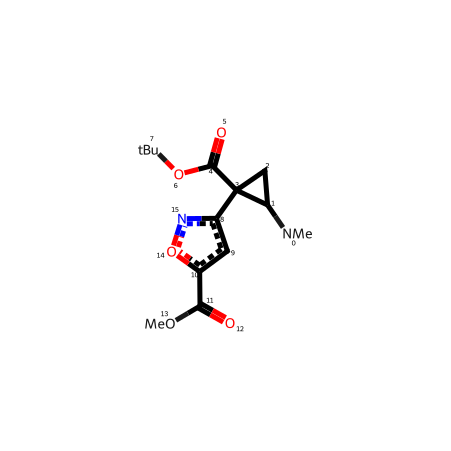 CNC1CC1(C(=O)OC(C)(C)C)c1cc(C(=O)OC)on1